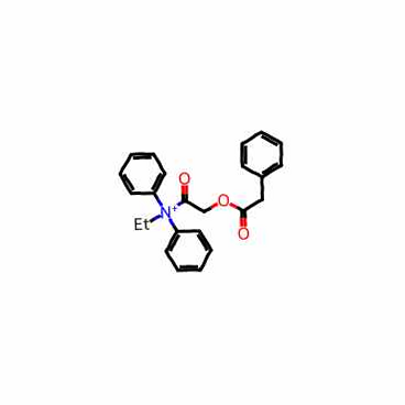 CC[N+](C(=O)COC(=O)Cc1ccccc1)(c1ccccc1)c1ccccc1